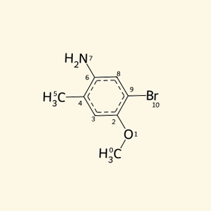 COc1cc(C)c(N)cc1Br